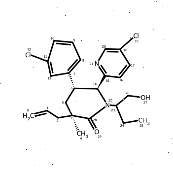 C=CC[C@@]1(C)C[C@H](c2cccc(Cl)c2)[C@@H](c2ccc(Cl)cn2)N(C(CC)CO)C1=O